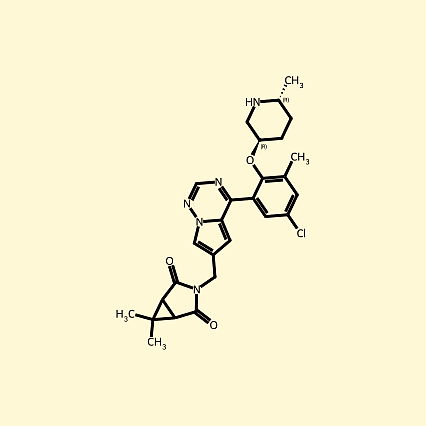 Cc1cc(Cl)cc(-c2ncnn3cc(CN4C(=O)C5C(C4=O)C5(C)C)cc23)c1O[C@@H]1CC[C@@H](C)NC1